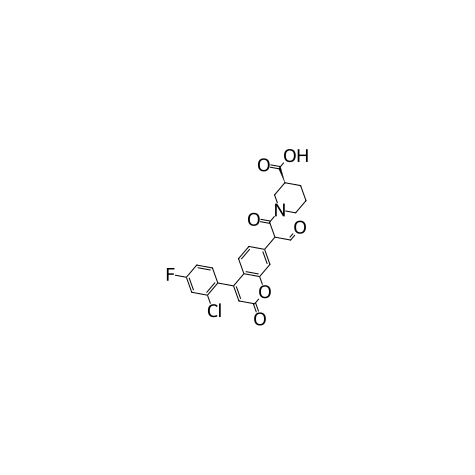 O=CC(C(=O)N1CCC[C@H](C(=O)O)C1)c1ccc2c(-c3ccc(F)cc3Cl)cc(=O)oc2c1